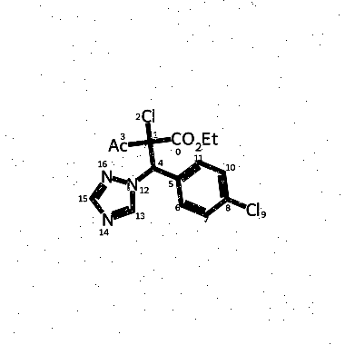 CCOC(=O)C(Cl)(C(C)=O)C(c1ccc(Cl)cc1)n1cncn1